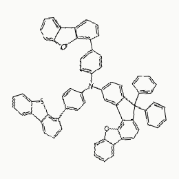 c1ccc(C2(c3ccccc3)c3ccc(N(c4ccc(-c5cccc6c5oc5ccccc56)cc4)c4ccc(-c5cccc6c5sc5ccccc56)cc4)cc3-c3c2ccc2c3oc3ccccc32)cc1